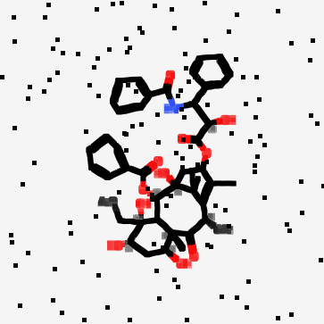 CC(=O)OC[C@@]1(O)C2[C@H](OC(=O)c3ccccc3)[C@]3(O)CC(OC(=O)[C@H](O)C(NC(=O)c4ccccc4)c4ccccc4)C(C)=C([C@@H](OC(C)=O)C(=O)[C@]2(C)[C@@H](O)C[C@@H]1O)C3(C)C